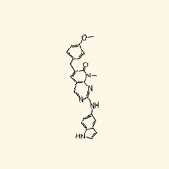 COc1ccc(Cc2cc3cnc(Nc4ccc5[nH]ccc5c4)nc3n(C)c2=O)cc1